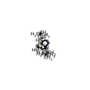 CC(C)(C)OC(=O)N[C@H]1C/C=C\C[C@@H]2[C@H](O[Si](C)(C)C(C)(C)C)C[C@@H](C(=O)O)N2C1=O